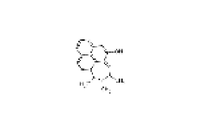 CC1C=c2c(O)cc3cccc4ccc(c2c43)C(C)C1C